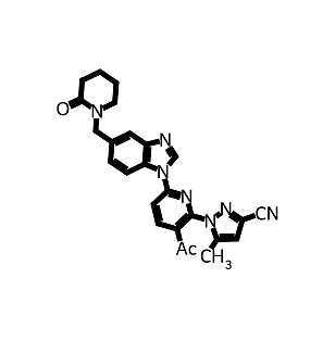 CC(=O)c1ccc(-n2cnc3cc(CN4CCCCC4=O)ccc32)nc1-n1nc(C#N)cc1C